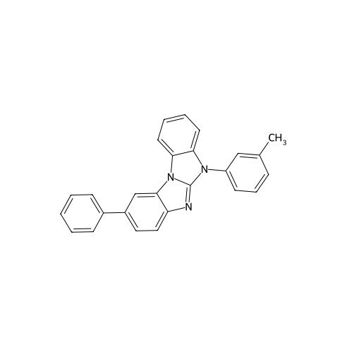 Cc1cccc(-n2c3ccccc3n3c4cc(-c5ccccc5)ccc4nc23)c1